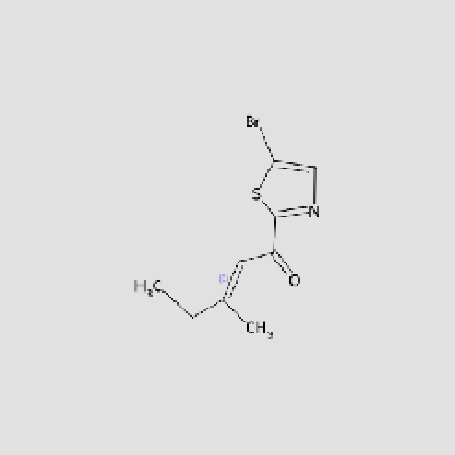 CC/C(C)=C/C(=O)c1ncc(Br)s1